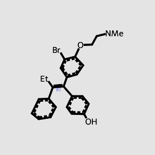 CC/C(=C(/c1ccc(O)cc1)c1ccc(OCCNC)c(Br)c1)c1ccccc1